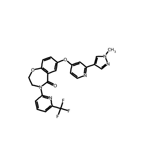 Cn1cc(-c2cc(Oc3ccc4c(c3)C(=O)N(c3cccc(C(F)(F)F)n3)CCO4)ccn2)cn1